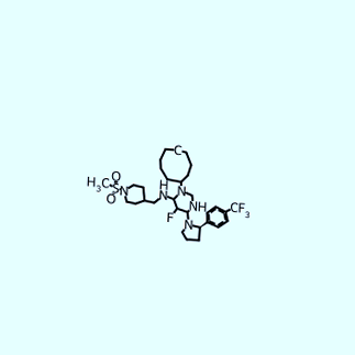 CS(=O)(=O)N1CCC(CNC2C(F)C(N3CCC[C@@H]3c3ccc(C(F)(F)F)cc3)NCN2C2CCCCCCCC2)CC1